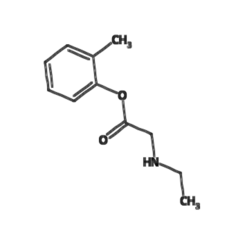 CCNCC(=O)Oc1ccccc1C